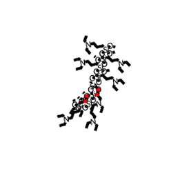 CCN(CC)CCC[Si](OC)(OC)O[Si](CCCN(CC)CC)(OC)O[Si](CCCN(CC)CC)(OC)O[Si](CCCN(CC)CC)(OC)O[Si](CCCN(CC)CC)(OC)O[Si](CCCN(CC)CC)(OC)O[Si](CCCN(CC)CC)(OC)O[Si](CCCN(CC)CC)(OC)OC